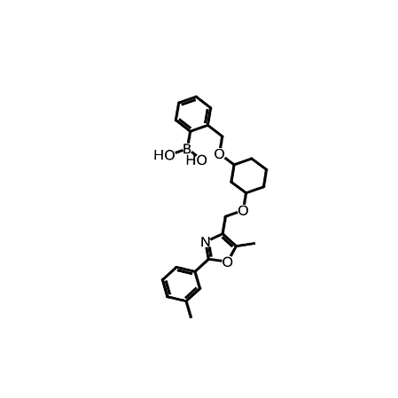 Cc1cccc(-c2nc(COC3CCCC(OCc4ccccc4B(O)O)C3)c(C)o2)c1